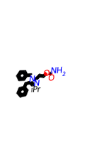 CC(C)c1nc(CCOC(N)=O)n(Cc2ccccc2)c1Cc1ccccc1